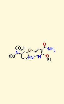 CCOc1nc(N[C@H]2CC[C@H](N(C(=O)O)C(C)(C)C)CC2)c(Br)cc1C(N)=O